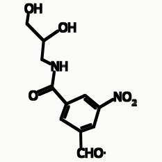 O=[C]c1cc(C(=O)NCC(O)CO)cc([N+](=O)[O-])c1